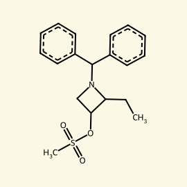 CCC1C(OS(C)(=O)=O)CN1C(c1ccccc1)c1ccccc1